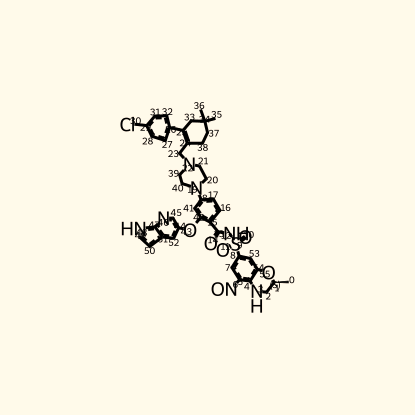 C[C@H]1CNc2c(N=O)cc(S(=O)(=O)NC(=O)c3ccc(N4CCN(CC5=C(c6ccc(Cl)cc6)CC(C)(C)CC5)CC4)cc3Oc3cnc4[nH]ccc4c3)cc2O1